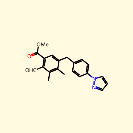 COC(=O)c1cc(Cc2ccc(-n3cccn3)cc2)c(C)c(C)c1C=O